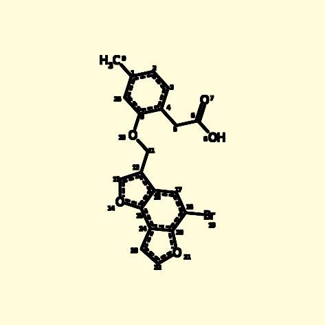 Cc1ccc(CC(=O)O)c(OCc2coc3c2cc(Br)c2occc23)c1